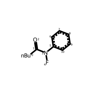 CCCCC(=O)N(F)c1[c]cccc1